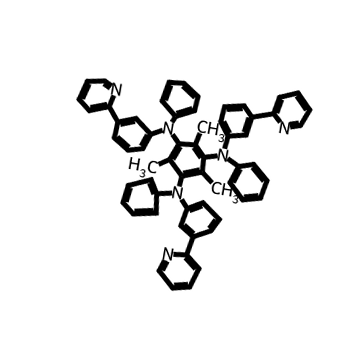 Cc1c(N(c2ccccc2)c2cccc(-c3ccccn3)c2)c(C)c(N(c2ccccc2)c2cccc(-c3ccccn3)c2)c(C)c1N(c1ccccc1)c1cccc(-c2ccccn2)c1